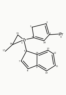 CC(C)C1=CC[C]([Zr]2([CH]3C=Cc4ccccc43)[CH2][CH]2C)=C1